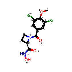 COc1c(Br)cc(C(=O)N2CC[C@@H]2C(=O)NO)cc1Br